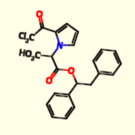 O=C(O)C(C(=O)OC(Cc1ccccc1)c1ccccc1)n1cccc1C(=O)C(Cl)(Cl)Cl